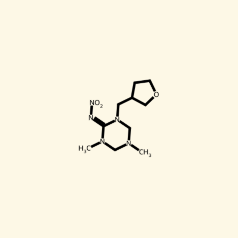 CN1CN(C)/C(=N/[N+](=O)[O-])N(CC2CCOC2)C1